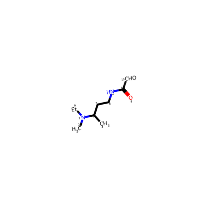 CCN(C)C(C)CCNC(=O)C=O